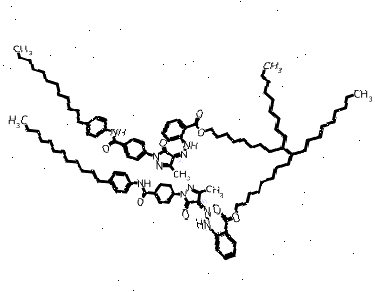 CCCCCCCCCCCCc1ccc(NC(=O)C2=CC=C(N3N=C(C)/C(=N/Nc4ccccc4C(=O)OCCCCCCCCC(CCCCCCCCC)C(CCCCCCCCC)CCCCCCCCOC(=O)c4ccccc4N/N=C4\C(=O)N(c5ccc(C(=O)Nc6ccc(CCCCCCCCCCCC)cc6)cc5)N=C4C)C3=O)CC2)cc1